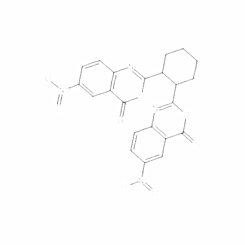 O=c1oc(C2CCCCC2c2nc3ccc([N+](=O)[O-])cc3c(=O)o2)nc2ccc([N+](=O)[O-])cc12